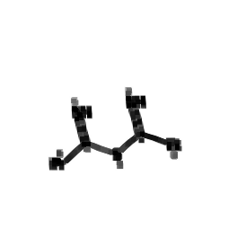 CCC(=N)SC(=N)C(C)C